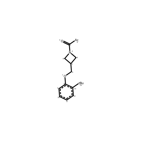 CC(=O)C(=O)N1CC(COc2ccccc2C(C)(C)C)C1